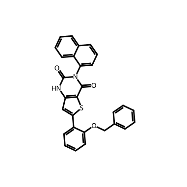 O=c1[nH]c2cc(-c3ccccc3OCc3ccccc3)sc2c(=O)n1-c1cccc2ccccc12